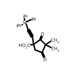 CC(C)[Si](C#CC1(C(=O)O)CC(=O)C(C)(C)C1=O)(C(C)C)C(C)C